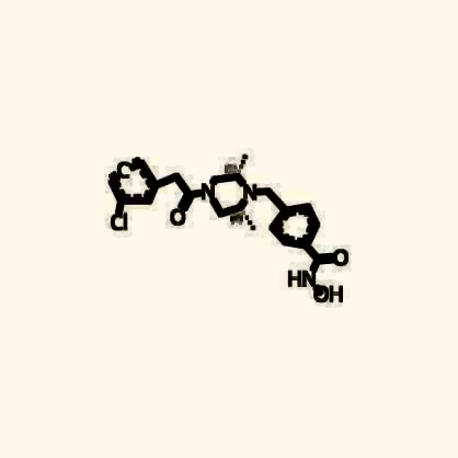 C[C@@H]1CN(C(=O)Cc2cccc(Cl)c2)C[C@H](C)N1Cc1ccc(C(=O)NO)cc1